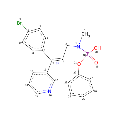 CN(C/C=C(\c1ccc(Br)cc1)c1cccnc1)P(=O)(O)Oc1ccccc1